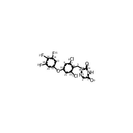 O=c1cnn(Cc2c(Cl)cc(Oc3cc(F)c(F)c(F)c3)cc2Cl)c(=O)[nH]1